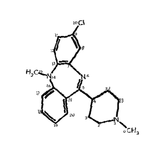 CN1CCC(C2=Nc3cc(Cl)ccc3N(C)c3ccccc32)CC1